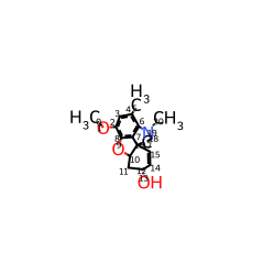 COc1cc(C)c2c3c1OC1C[C@@H](O)C=CC31CCN2C